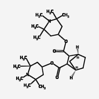 CN1C(C)(C)CC(OC(=O)C2C(C(=O)OC3CC(C)(C)N(C)C(C)(C)C3)[C@H]3CC[C@@H]2C3)CC1(C)C